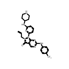 C=CCn1c(=O)c2cnc(Nc3ccc(C(F)(F)F)cc3)nc2n1-c1cccc(NC2CCNCC2)n1